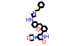 O=c1cc(N2CCOCC2)cc(-c2cccc3c2Oc2ccc(NC4CN(CCc5ccccc5)C4)cc2C3)[nH]1